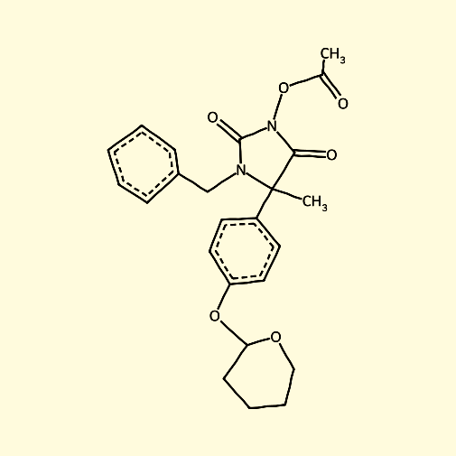 CC(=O)ON1C(=O)N(Cc2ccccc2)C(C)(c2ccc(OC3CCCCO3)cc2)C1=O